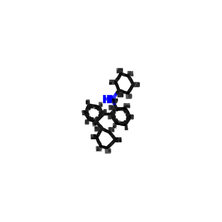 c1ccc(-c2ccccc2C2CCCCC2)c(NC2CCCCC2)c1